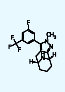 Cn1nc2c(c1-c1cc(F)cc(C(F)(F)F)c1)C[C@H]1CCC[C@@H]2N1